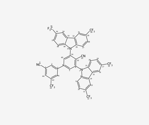 N#Cc1cc(-c2cc(-n3c4ccc(C(F)(F)F)cc4c4cc(C(F)(F)F)ccc43)c(C#N)c(-n3c4ccc(C(F)(F)F)cc4c4cc(C(F)(F)F)ccc43)c2)cc(C(F)(F)F)c1